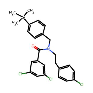 C[Si](C)(C)c1ccc(CN(CCc2ccc(Cl)cc2)C(=O)c2cc(Cl)cc(Cl)c2)cc1